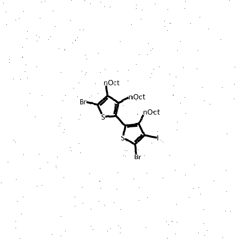 CCCCCCCCc1c(-c2sc(Br)c(CCCCCCCC)c2CCCCCCCC)sc(Br)c1I